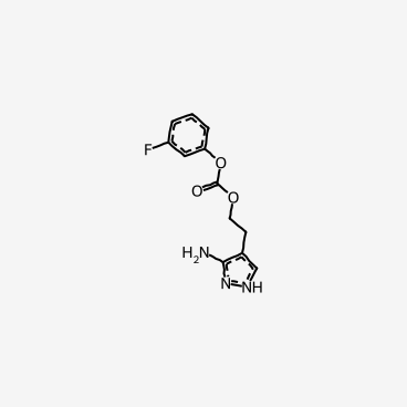 Nc1n[nH]cc1CCOC(=O)Oc1cccc(F)c1